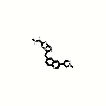 CN[C@H](C)c1nn2c(Cc3ccc4ncc(C5C=NN(C)C5)cc4c3)nnc2s1